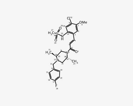 COc1cc(C=CC(=O)N2C[C@H](C)N(Cc3ccc(F)cc3)C[C@H]2C)c(NS(C)(=O)=O)cc1Cl